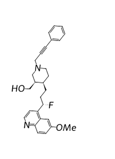 COc1ccc2nccc([C@@H](F)CC[C@@H]3CCN(CC#Cc4ccccc4)C[C@@H]3CO)c2c1